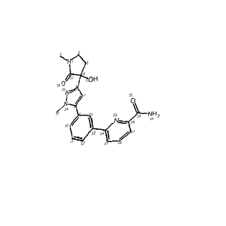 CN1CCC(O)(c2cc(-c3cccc(-c4cccc(C(N)=O)n4)c3)n(C)n2)C1=O